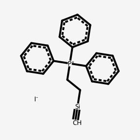 C#[Si]CC[P+](c1ccccc1)(c1ccccc1)c1ccccc1.[I-]